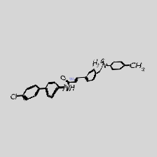 CC1CCC(N(C)Cc2ccc(/C=C/C(=O)Nc3ccc(-c4ccc(Cl)cc4)cc3)cc2)CC1